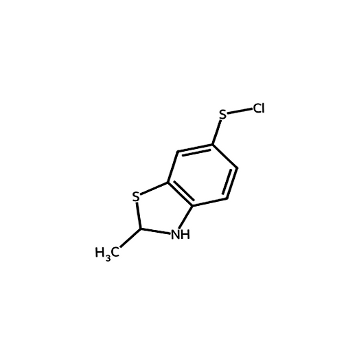 CC1Nc2ccc(SCl)cc2S1